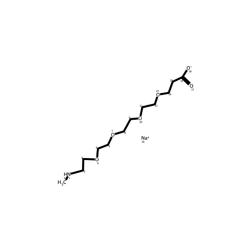 CNCCOCCOCCOCCOCCC(=O)[O-].[Na+]